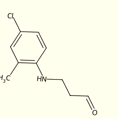 Cc1cc(Cl)ccc1NCCC=O